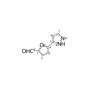 O=Cc1ccc(-c2ccn[nH]2)o1